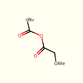 CCC[CH]C(=O)OC(=O)COC